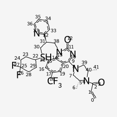 C=CC(=O)N1[C@H](C)CN(c2nc(=O)n3c4c(cc(C(F)(F)F)cc24)[SH](C2CCC(F)(F)CC2)C[C@@H](c2ccccn2)C3)C[C@@H]1C